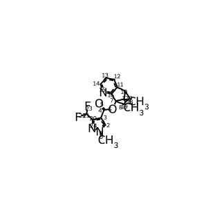 Cn1cc(C(=O)OC23CCC(c4cccnc42)C3(C)C)c(C(F)F)n1